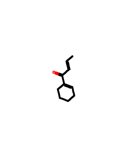 CC=CC(=O)C1=CCCCC1